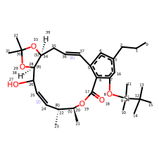 CCCc1cc2c(c(O[Si](C)(C)C(C)(C)C)c1)C(=O)O[C@@H](C)[C@H](C)/C=C\C(O)[C@H]1OC(C)(C)O[C@H]1C/C=C/2